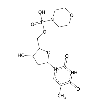 Cc1cn(C2CC(O)C(COP(=O)(O)N3CCOCC3)O2)c(=O)[nH]c1=O